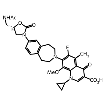 COc1c(N2CCc3ccc(N4C[C@H](CNC(C)=O)OC4=O)cc3CC2)c(F)c(C)c2c(=O)c(C(=O)O)cn(C3CC3)c12